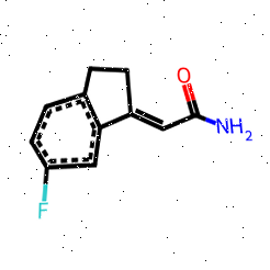 NC(=O)C=C1CCc2ccc(F)cc21